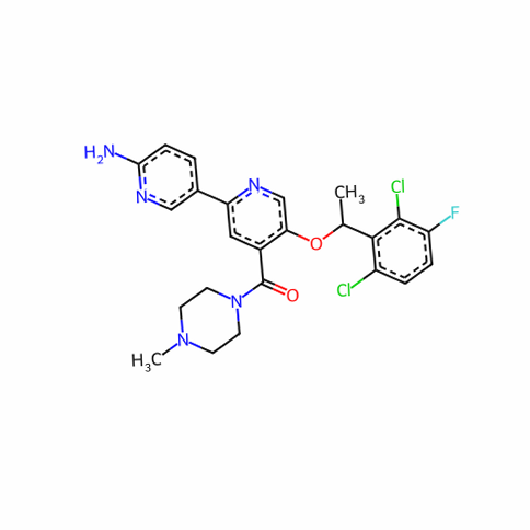 CC(Oc1cnc(-c2ccc(N)nc2)cc1C(=O)N1CCN(C)CC1)c1c(Cl)ccc(F)c1Cl